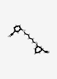 N#Cc1cccc(OCCCCCOc2cccc(C#N)c2)c1